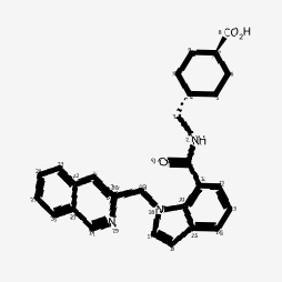 O=C(NC[C@H]1CC[C@H](C(=O)O)CC1)c1cccc2ccn(Cc3cc4ccccc4cn3)c12